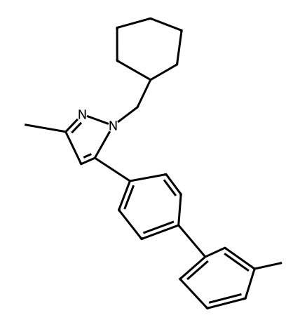 Cc1cccc(-c2ccc(-c3cc(C)nn3CC3CCCCC3)cc2)c1